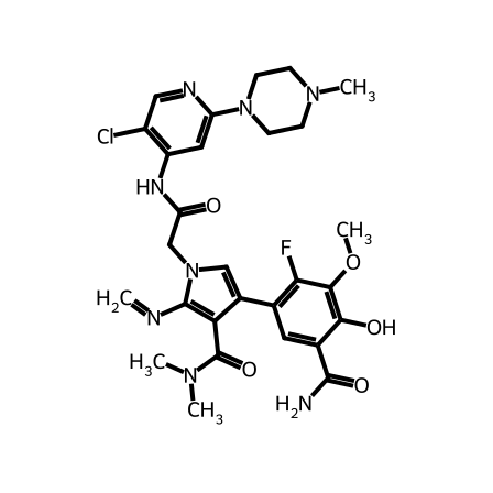 C=Nc1c(C(=O)N(C)C)c(-c2cc(C(N)=O)c(O)c(OC)c2F)cn1CC(=O)Nc1cc(N2CCN(C)CC2)ncc1Cl